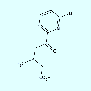 O=C(O)CC(CC(=O)c1cccc(Br)n1)C(F)(F)F